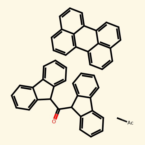 CC(C)=O.O=C(C1c2ccccc2-c2ccccc21)C1c2ccccc2-c2ccccc21.c1cc2cccc3c4cccc5cccc(c(c1)c23)c54